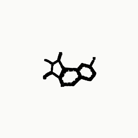 CN1C(=O)c2ncc3ccc(F)cc3c2C1=O